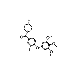 COc1cc(Oc2ccc(C(=O)N3CCNCC3)cc2I)cc(OC)c1OC